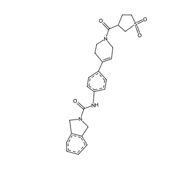 O=C(Nc1ccc(C2=CCN(C(=O)C3CCS(=O)(=O)C3)CC2)cc1)N1Cc2ccccc2C1